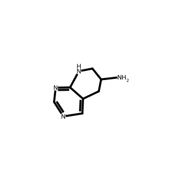 NC1CNc2ncncc2C1